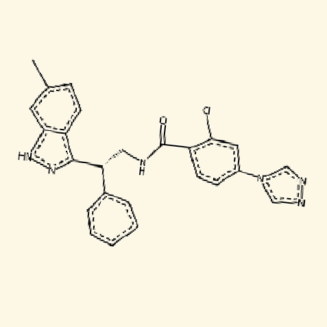 Cc1ccc2c([C@H](CNC(=O)c3ccc(-n4cnnc4)cc3Cl)c3ccccc3)n[nH]c2c1